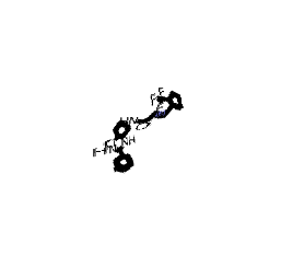 N=C(Nc1cc(NC(=O)/C=C/c2ccccc2C(F)(F)F)ccc1Cl)c1ccccc1